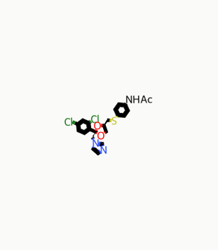 CC(=O)Nc1ccc(SC[C@H]2CO[C@@](Cn3ccnc3)(c3ccc(Cl)cc3Cl)O2)cc1